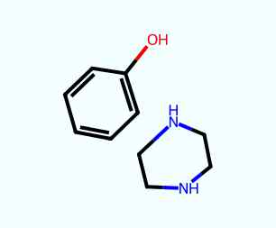 C1CNCCN1.Oc1ccccc1